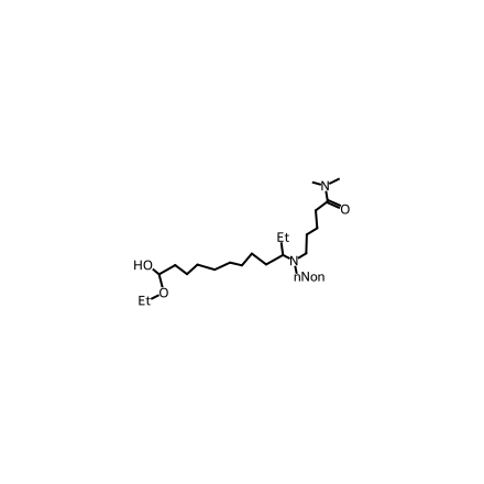 CCCCCCCCCN(CCCCC(=O)N(C)C)C(CC)CCCCCCCCC(O)OCC